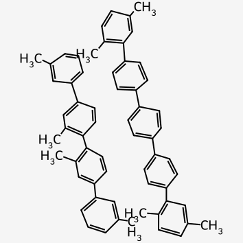 Cc1ccc(C)c(-c2ccc(-c3ccc(-c4ccc(-c5cc(C)ccc5C)cc4)cc3)cc2)c1.Cc1cccc(-c2ccc(-c3ccc(-c4cccc(C)c4)cc3C)c(C)c2)c1